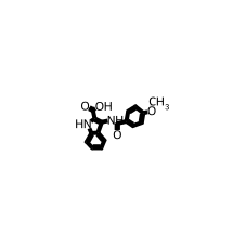 COc1ccc(C(=O)Nc2c(C(=O)O)[nH]c3ccccc23)cc1